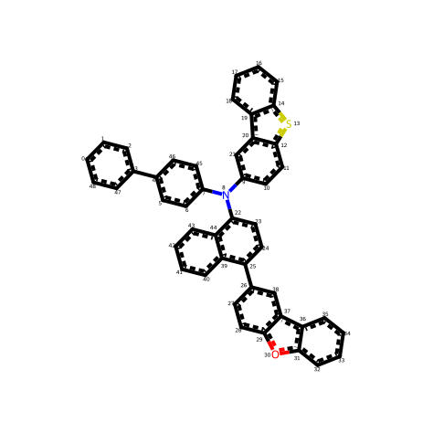 c1ccc(-c2ccc(N(c3ccc4sc5ccccc5c4c3)c3ccc(-c4ccc5oc6ccccc6c5c4)c4ccccc34)cc2)cc1